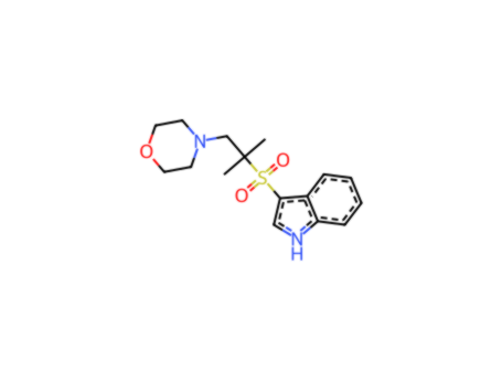 CC(C)(CN1CCOCC1)S(=O)(=O)c1c[nH]c2ccccc12